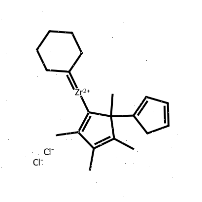 CC1=C(C)C(C)(C2=CC=CC2)[C]([Zr+2]=[C]2CCCCC2)=C1C.[Cl-].[Cl-]